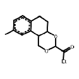 CCC(=O)C1OCC2c3cc(C)ccc3CCC2O1